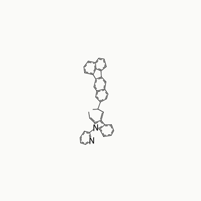 C/C=c1\c(=C/C(C)c2ccc3cc4c(cc3c2)-c2cccc3cccc-4c23)c2ccccc2n1-c1ccccn1